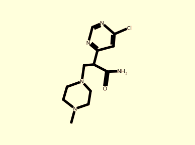 CN1CCN(CC(C(N)=O)c2cc(Cl)ncn2)CC1